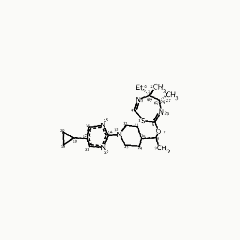 CC[C@@]1(C)N=CSC(OC(C)C2CCN(c3ncc(C4CC4)cn3)CC2)=N[C@H]1C